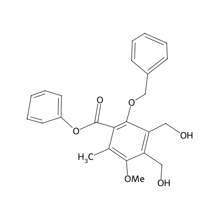 COc1c(C)c(C(=O)Oc2ccccc2)c(OCc2ccccc2)c(CO)c1CO